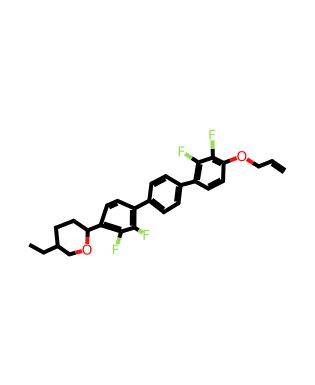 C=CCOc1ccc(-c2ccc(-c3ccc(C4CCC(CC)CO4)c(F)c3F)cc2)c(F)c1F